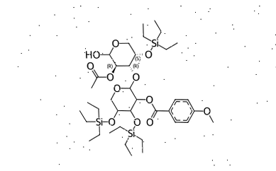 CC[Si](CC)(CC)OC1COC(O[C@H]2[C@@H](O[Si](CC)(CC)CC)COC(O)[C@@H]2OC(C)=O)C(OC(=O)c2ccc(OC)cc2)C1O[Si](CC)(CC)CC